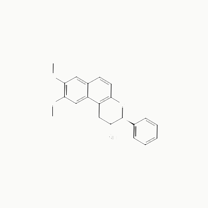 COc1cc2ccc3c(c2cc1OC)C[C@@H](N)[C@H](c1ccccc1)O3